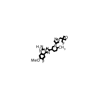 COc1cc2nc(N)n3nc(C4CCC(C)N(c5cnn(CC6(CF)COC6)c5)C4)nc3c2cc1F